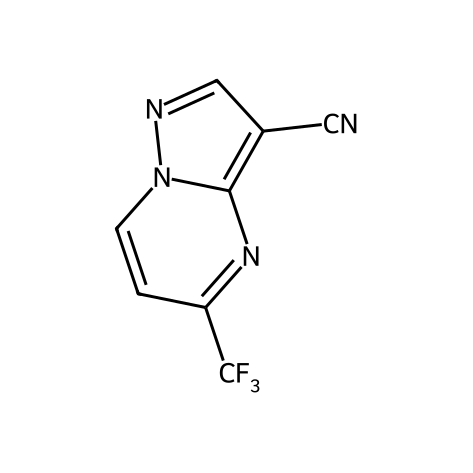 N#Cc1cnn2ccc(C(F)(F)F)nc12